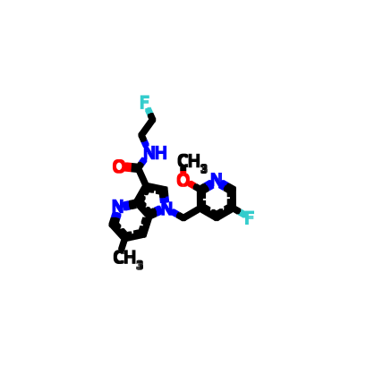 COc1ncc(F)cc1Cn1cc(C(=O)NCCF)c2ncc(C)cc21